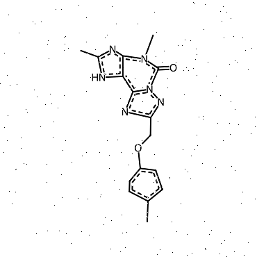 Cc1ccc(OCc2nc3c4[nH]c(C)nc4n(C)c(=O)n3n2)cc1